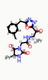 Cc1cccc(Cc2nnc(C(=O)[C@@H](NC(=O)CN3C(=O)N[C@@H](C(C)C)C3=O)C(C)C)o2)c1